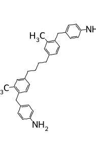 Cc1cc(CCCCc2ccc(Cc3ccc(N)cc3)c(C)c2)ccc1Cc1ccc(N)cc1